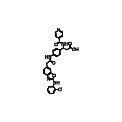 O=C(O)C[C@H](NC(=O)c1ccncc1)c1ccc(NC(=O)Cc2ccc3nc(Nc4ccccc4Cl)oc3c2)cc1